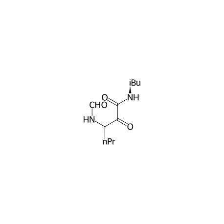 CCCC(NC=O)C(=O)C(=O)N[C@H](C)CC